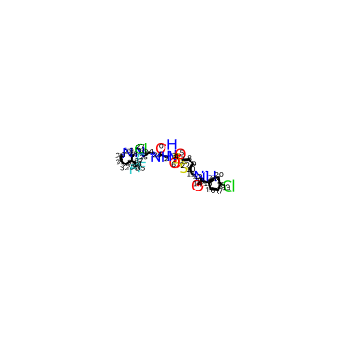 O=C(CNS(=O)(=O)c1ccc(CNC(=O)c2ccc(Cl)cc2)s1)NCCN(Cl)c1ncccc1C(F)(F)F